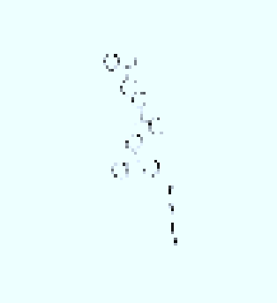 C#CC#CC#CC#COc1ccc(N(c2ccc(C)cc2)c2ccc(C=C(c3ccccc3)c3ccc4cc(C(=CC)c5ccccc5)ccc4c3)cc2)cc1